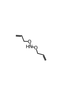 C=CCONOCC=C